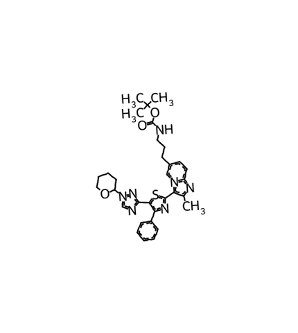 Cc1nc2ccc(CCCNC(=O)OC(C)(C)C)cn2c1-c1nc(-c2ccccc2)c(-c2ncn(C3CCCCO3)n2)s1